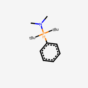 CN(C)[PH](c1ccccc1)(C(C)(C)C)C(C)(C)C